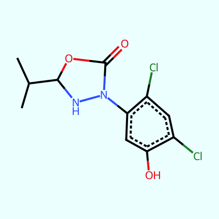 CC(C)C1NN(c2cc(O)c(Cl)cc2Cl)C(=O)O1